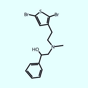 CN(CCc1cc(Br)sc1Br)CC(O)c1ccccc1